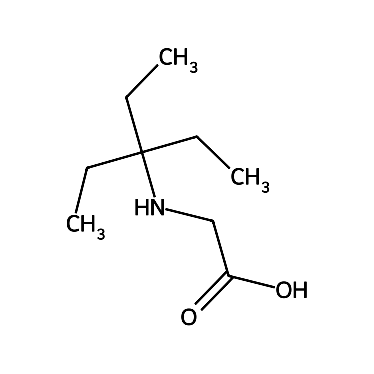 CCC(CC)(CC)NCC(=O)O